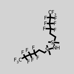 C[Si](C)(CCC(F)(F)C(F)(F)C(F)(F)C(F)(F)F)N[Si](C)(C)CCC(F)(F)C(F)(F)C(F)(F)C(F)(F)F